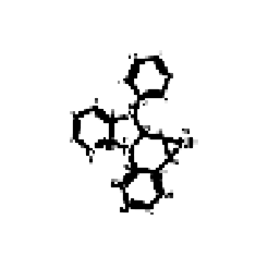 c1ccc(N2c3cccnc3N3c4ccccc4C4NC4C23)cc1